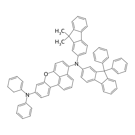 CC1(C)c2ccccc2-c2ccc(N(c3ccc4c(c3)C(c3ccccc3)(c3ccccc3)c3ccccc3-4)c3ccc4c5c(cccc35)-c3ccc(N(C5=CC=CCC5)c5ccccc5)cc3O4)cc21